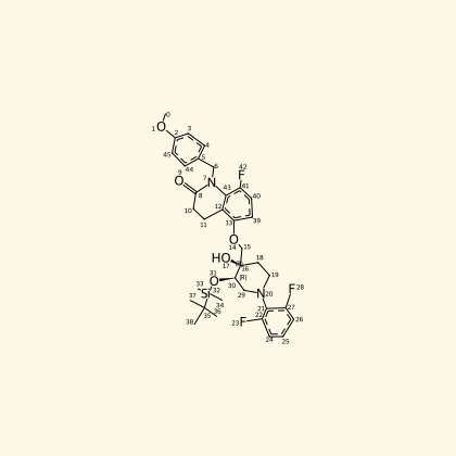 COc1ccc(CN2C(=O)CCc3c(OC[C@]4(O)CCN(c5c(F)cccc5F)C[C@H]4O[Si](C)(C)C(C)(C)C)ccc(F)c32)cc1